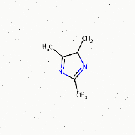 CC1=NC(C)C(C)=N1